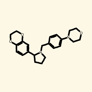 c1cc(N2CCOCC2)ccc1CN1CCCC1c1ccc2c(c1)OCCO2